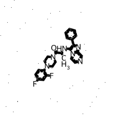 CC(Nc1c(-c2ccccc2)nc2cnccn12)C(=O)N1CCN(c2ccc(F)cc2F)CC1